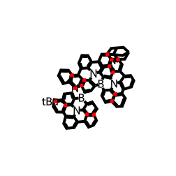 CC(C)(C)c1cc2c3c(c1)N(c1c(-c4ccccc4)cccc1-c1ccccc1)c1ccccc1B3c1cc3c(cc1N2c1ccccc1)N(c1c(-c2ccccc2)cccc1-c1ccccc1)c1cc(N2C4CC5CC(C4)CC2C5)cc2c1B3c1ccccc1N2c1c(-c2ccccc2)cccc1-c1ccccc1